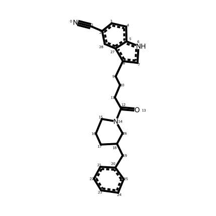 N#Cc1ccc2[nH]cc(CCCC(=O)N3CCCC(Cc4ccccc4)C3)c2c1